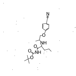 CC[C@H](C)[C@H](NC(C)COc1ccc(C#N)cc1)C(=O)NC(=O)OC(C)(C)C